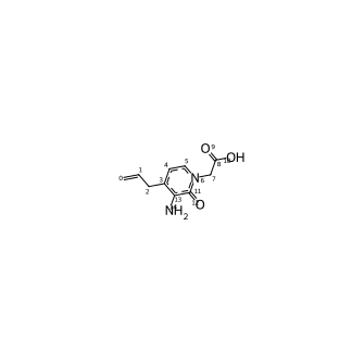 C=CCc1ccn(CC(=O)O)c(=O)c1N